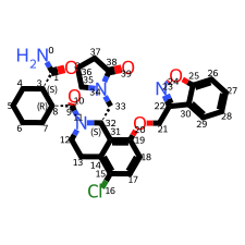 NC(=O)[C@H]1CCCC[C@H]1C(=O)N1CCc2c(Cl)ccc(OCc3noc4ccccc34)c2[C@H]1CN1CCCC1=O